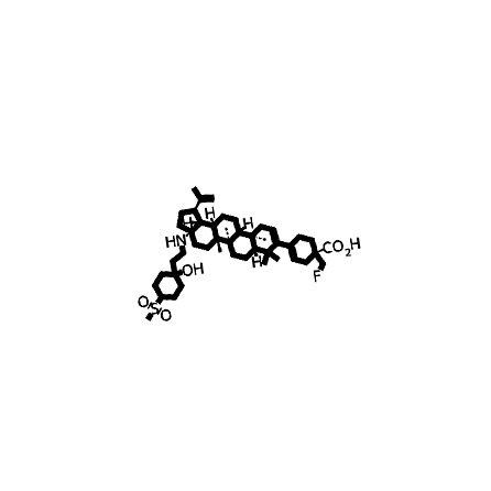 C=C(C)[C@@H]1CC[C@]2(NCCC3(O)CCC(S(C)(=O)=O)CC3)CC[C@]3(C)[C@H](CC[C@@H]4[C@@]5(C)CC=C(C6=CC[C@@](CF)(C(=O)O)CC6)C(C)(C)[C@@H]5CC[C@]43C)[C@@H]12